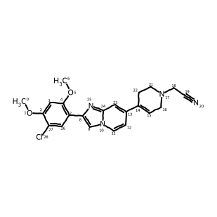 COc1cc(OC)c(-c2cn3ccc(C4=CCN(CC#N)CC4)cc3n2)cc1Cl